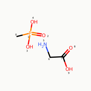 CP(=O)(O)O.NCC(=O)O